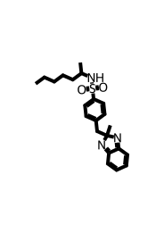 CCCCCC(C)NS(=O)(=O)c1ccc(CC2(C)N=c3ccccc3=N2)cc1